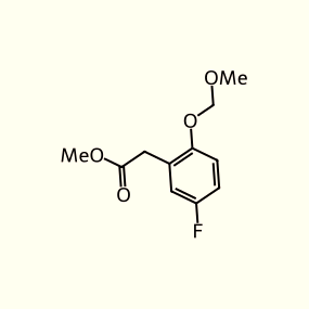 COCOc1ccc(F)cc1CC(=O)OC